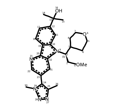 COC[C@H](C1CCOCC1)n1c2cc(C(C)(C)O)ccc2c2ncc(-c3c(C)nnn3C)cc21